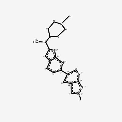 CN1CCC([C@H](O)c2cc3ccc(-c4cnc5nn(C)cc5c4)nc3s2)CC1